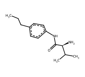 CCCc1ccc(NC(=O)[C@@H](N)C(C)C)cc1